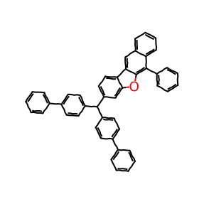 c1ccc(-c2ccc(C(c3ccc(-c4ccccc4)cc3)c3ccc4c(c3)oc3c(-c5ccccc5)c5ccccc5cc34)cc2)cc1